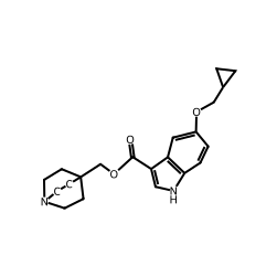 O=C(OCC12CCN(CC1)CC2)c1c[nH]c2ccc(OCC3CC3)cc12